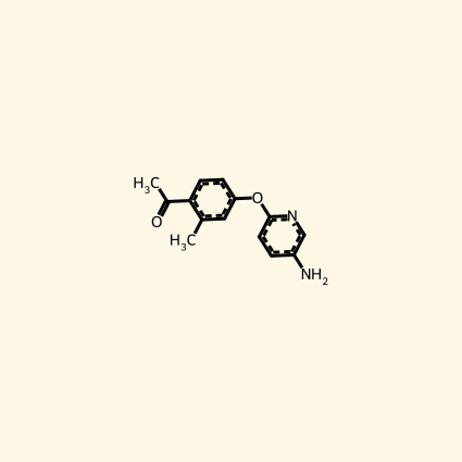 CC(=O)c1ccc(Oc2ccc(N)cn2)cc1C